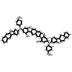 CC(C)c1cc(N(c2ccc(C(C)(C)C)cc2)c2ccc3c(c2)oc2cc4ccccc4cc23)cc2oc3cc4cc5oc6cc(N(c7ccc(C(C)(C)C)cc7)c7ccc8c(c7)oc7cc9ccccc9cc78)cc(C(C)C)c6c5cc4cc3c12